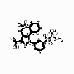 CN(C)S(=O)(=O)c1cccc(-n2nc(C(=O)O)c3c2-c2ccccc2S(=O)(=O)C3)c1